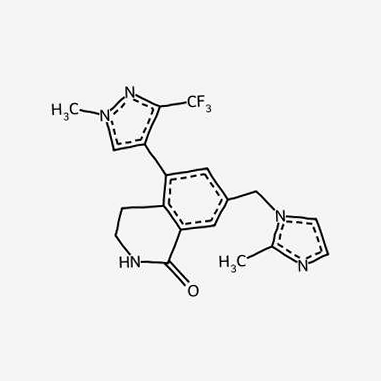 Cc1nccn1Cc1cc2c(c(-c3cn(C)nc3C(F)(F)F)c1)CCNC2=O